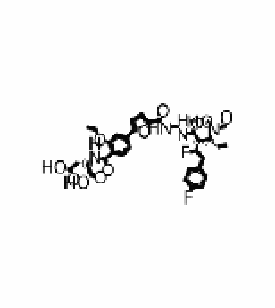 CCOc1cc(-c2ccc(C(=O)NCNC(=O)[C@H](C(F)Cc3ccc(F)cc3)[C@@H](CC)N(O)C=O)o2)ccc1C(=O)N[C@@H](CC(=O)O)C(=O)O